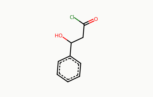 O=C(Cl)CC(O)c1ccccc1